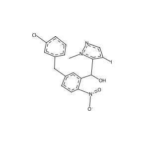 Cn1ncc(I)c1C(O)c1cc(Cc2cccc(Cl)c2)ccc1[N+](=O)[O-]